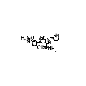 CCc1c(NC(=O)c2cc(S(C)(=O)=O)ccc2OCC(C)C)c(C(N)=O)nn1Cc1cccnn1